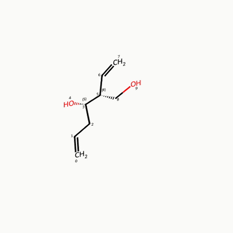 C=CC[C@H](O)[C@H](C=C)CO